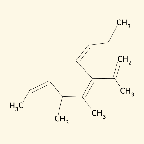 C=C(C)C(/C=C\CC)=C(\C)C(C)/C=C\C